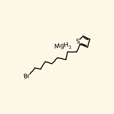 BrCCCCCCCCc1cccs1.[MgH2]